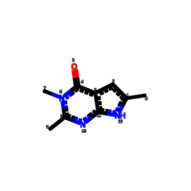 Cc1cc2c(=O)n(C)c(C)nc2[nH]1